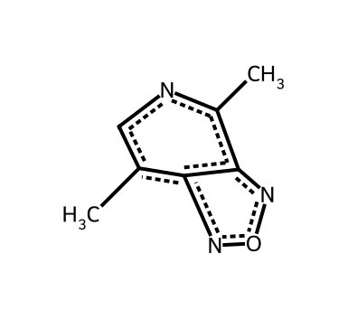 Cc1cnc(C)c2nonc12